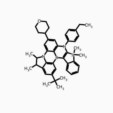 CCc1ccc(N2C3=C(B4c5cc(C(C)(C)C)cc6c5N(c5cc(C7CCOCC7)cc2c54)C(C)C6C)c2ccccc2[Si]3(C)C)cc1